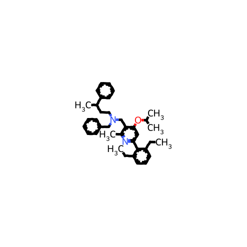 CCc1cccc(CC)c1-c1cc(OC(C)C)c(CN(CCC(C)c2ccccc2)Cc2ccccc2)c(C)n1